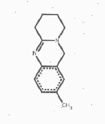 Cc1ccc2c(c1)CN1CCCCC1=N2